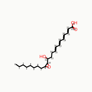 CCCCCCCCC1OC1C(O)CCC=CC=CC=CC=CC(=O)O